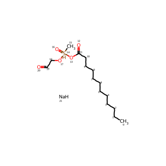 CCCCCCCCCCCC(=O)O[SH](C)(=O)OCC=O.[NaH]